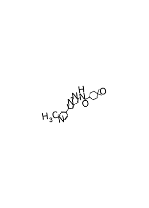 Cc1cc(-c2cc3cc(NC(=O)C4CCC5(CC4)COC5)ncn3c2)ccn1